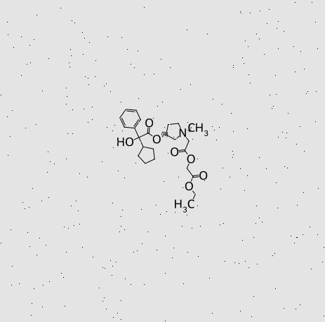 CCOC(=O)COC(=O)C[N+]1(C)CC[C@@H](OC(=O)C(O)(c2ccccc2)C2CCCC2)C1